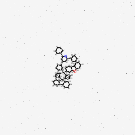 c1ccc(-c2cc(-c3cccc4c3-c3cc5c(cc3C43c4ccccc4C4(c6ccccc6-c6ccccc64)c4ccccc43)oc3ccccc35)cc(-c3ccccc3)n2)cc1